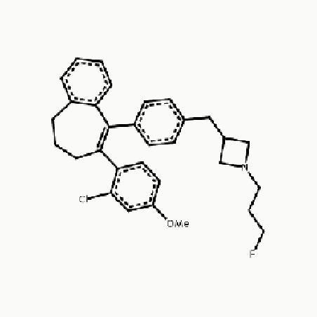 COc1ccc(C2=C(c3ccc(CC4CN(CCCF)C4)cc3)c3ccccc3CCC2)c(Cl)c1